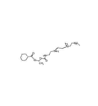 C[C@@H](OC(=O)NCCNCCNCCN)OC(=O)C1CCCCC1